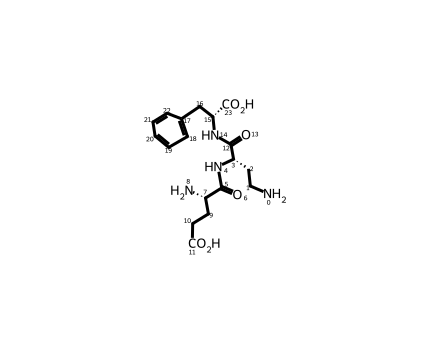 NCC[C@H](NC(=O)[C@@H](N)CCC(=O)O)C(=O)N[C@H](Cc1ccccc1)C(=O)O